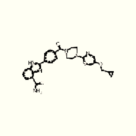 NC(=O)c1cccc2[nH]c(-c3ccc(C(=O)N4CCN(c5ncc(OCC6CC6)cn5)CC4)cc3)nc12